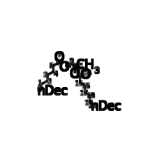 CCCCCCCCCCCCCCCC(=O)O[CH]C(C)OC(=O)CCCCCCCCCCCCCCC